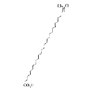 O=C(O)CCCCCCCCCCCCCCCCCCCCCCCCCCCC[SiH](Cl)Cl